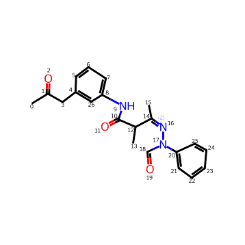 CC(=O)Cc1cccc(NC(=O)C(C)/C(C)=N\N(C=O)c2ccccc2)c1